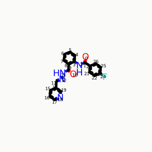 O=C(Nc1ccccc1C(=O)N/N=C/c1cccnc1)c1ccc(F)cc1